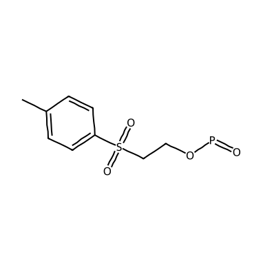 Cc1ccc(S(=O)(=O)CCOP=O)cc1